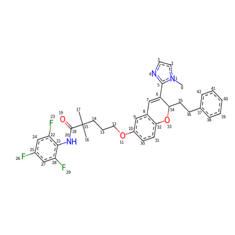 Cn1ccnc1C1=Cc2cc(OCCCC(C)(C)C(=O)Nc3c(F)cc(F)cc3F)ccc2OC1CCc1ccccc1